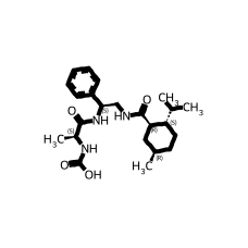 CC(C)[C@@H]1CC[C@@H](C)C[C@H]1C(=O)NC[C@@H](NC(=O)[C@H](C)NC(=O)O)c1ccccc1